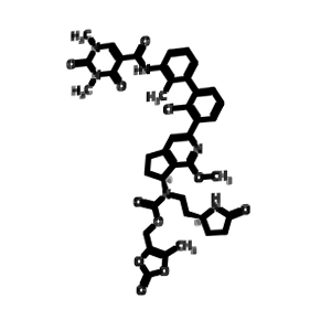 COc1nc(-c2cccc(-c3cccc(NC(=O)c4cn(C)c(=O)n(C)c4=O)c3C)c2Cl)cc2c1[C@@H](N(CC[C@@H]1CCC(=O)N1)C(=O)OCc1oc(=O)oc1C)CC2